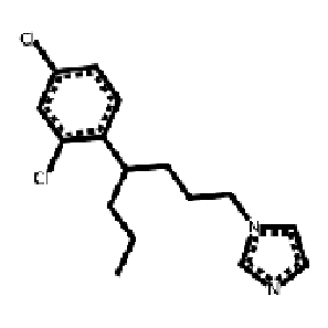 CCCC(CCCn1ccnc1)c1ccc(Cl)cc1Cl